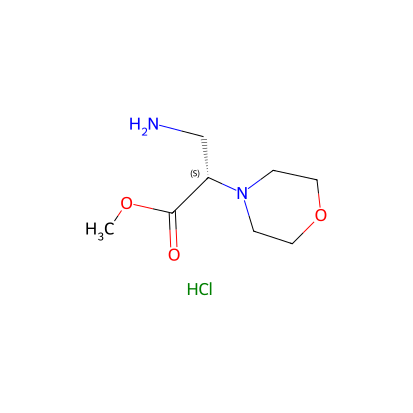 COC(=O)[C@H](CN)N1CCOCC1.Cl